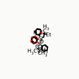 CCC(C)(C)C[Si](O[Si](O[Si](C)(C)C)(c1ccccc1)c1ccccc1)(c1ccccc1)c1ccccc1